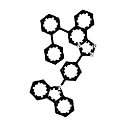 c1ccc(-c2ccccc2-c2cn3c(-c4ccc(-n5c6ccccc6c6ccccc65)cc4)nnc3c3ccccc23)cc1